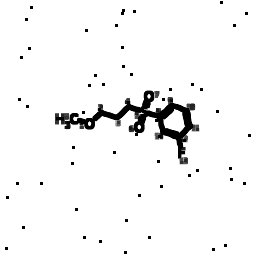 COCCCS(=O)(=O)c1cccc(F)c1